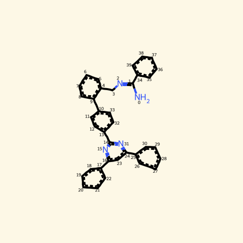 N/C(=N\Cc1ccccc1-c1ccc(-c2nc(-c3ccccc3)cc(-c3ccccc3)n2)cc1)c1ccccc1